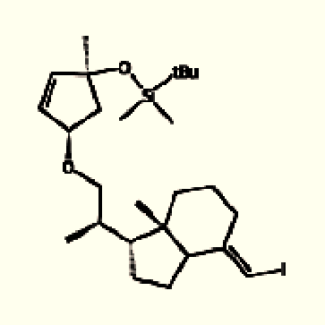 C[C@@H](CO[C@H]1C=C[C@@](C)(O[Si](C)(C)C(C)(C)C)C1)[C@H]1CCC2C(=CI)CCC[C@]21C